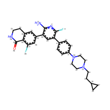 Nc1nc(F)c(-c2ccc(N3CCN(CCC4CC4)CC3)cc2)cc1-c1cc(F)c2c(c1)CCNC2=O